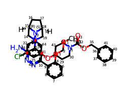 COCOc1ccccc1-c1cc(N2C[C@H]3CC[C@@H](C2)N3c2cc(Cl)cc(OC3CCN(C(=O)OCc4ccccc4)CC3)c2)c(N)nn1